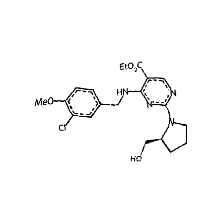 CCOC(=O)c1cnc(N2CCC[C@H]2CO)nc1NCc1ccc(OC)c(Cl)c1